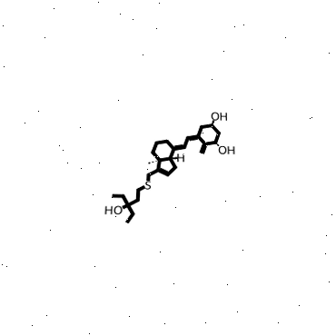 C=C1/C(=C\C=C2/CCC[C@]3(C)C(CSCCC(O)(CC)CC)=CC[C@@H]23)C[C@@H](O)C[C@@H]1O